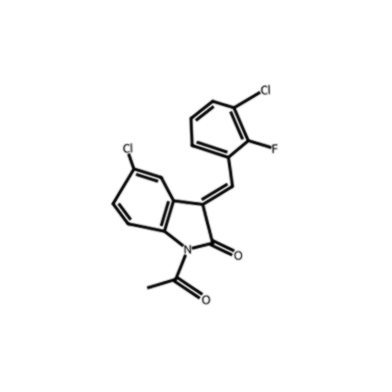 CC(=O)N1C(=O)/C(=C/c2cccc(Cl)c2F)c2cc(Cl)ccc21